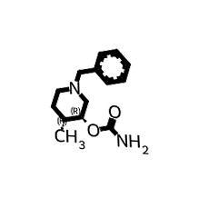 C[C@@H]1CCN(Cc2ccccc2)C[C@@H]1OC(N)=O